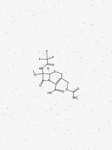 COC1(NC(=O)C(F)(F)F)C(=O)N2C(C(=O)O)=C(COC(N)=O)CS[C@@H]21